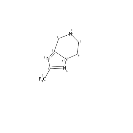 FC(F)(F)c1nc2n(n1)CC[N]C2